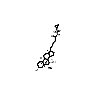 CC[C@H]1[C@@H](O)[C@@H]2[C@H](CC[C@]3(C)[C@@H](CCCCC(=O)NS(=O)(=O)C4CC4)CC[C@@H]23)[C@@]2(C)CC[C@@H](O)C[C@@H]12